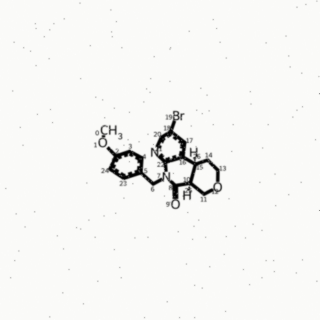 COc1ccc(CN2C(=O)[C@@H]3COCC[C@@H]3c3cc(Br)cnc32)cc1